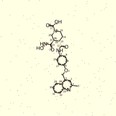 Cc1cc(COc2ccc(NC(=O)[C@H]3CCN(C(=O)O)C[C@@H]3C(=O)NO)cc2)c2ccccc2n1